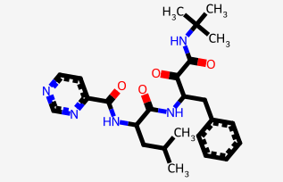 CC(C)CC(NC(=O)c1ccncn1)C(=O)NC(Cc1ccccc1)C(=O)C(=O)NC(C)(C)C